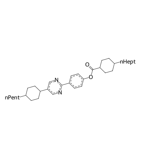 CCCCCCCC1CCC(C(=O)Oc2ccc(-c3ncc(C4CCC(CCCCC)CC4)cn3)cc2)CC1